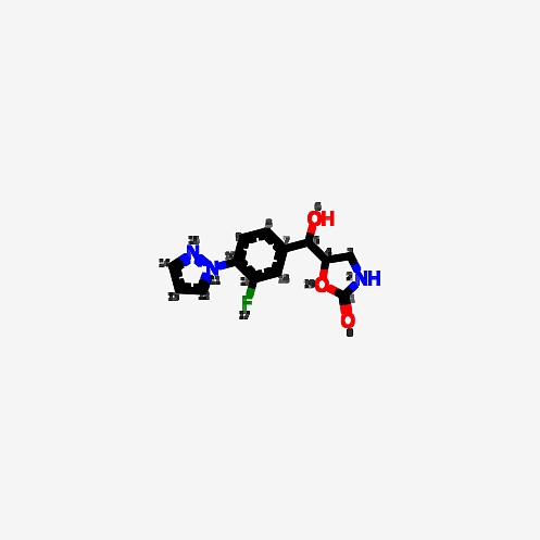 O=C1NCC(C(O)c2ccc(-n3cccn3)c(F)c2)O1